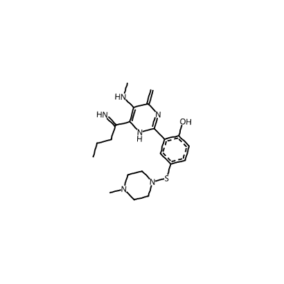 C=C1N=C(c2cc(SN3CCN(C)CC3)ccc2O)NC(C(=N)CCC)=C1NC